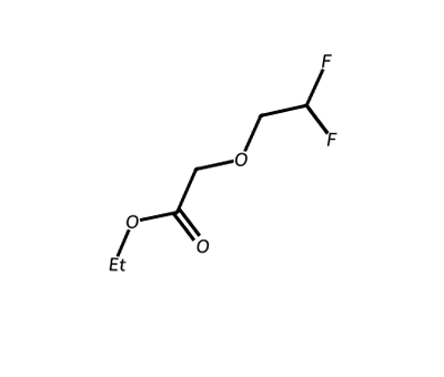 CCOC(=O)COCC(F)F